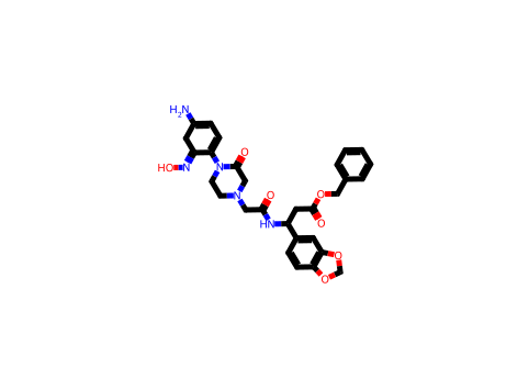 NC1=CC=C(N2CCN(CC(=O)NC(CC(=O)OCc3ccccc3)c3ccc4c(c3)OCO4)CC2=O)C(=NO)C1